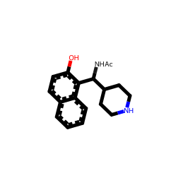 CC(=O)NC(c1c(O)ccc2ccccc12)C1CCNCC1